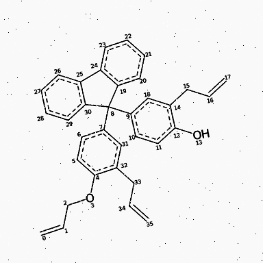 C=CCOc1ccc(C2(c3ccc(O)c(CC=C)c3)c3ccccc3-c3ccccc32)cc1CC=C